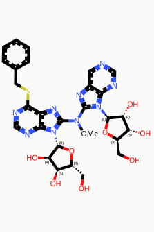 CON(c1nc2cncnc2n1[C@@H]1O[C@H](CO)[C@@H](O)[C@H]1O)c1nc2c(SCc3ccccc3)ncnc2n1[C@@H]1O[C@H](CO)[C@@H](O)[C@H]1O